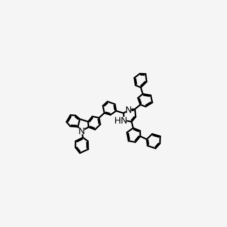 C1=C(c2cccc(-c3ccccc3)c2)NC(c2cccc(-c3ccc4c(c3)c3ccccc3n4-c3ccccc3)c2)N=C1c1cccc(-c2ccccc2)c1